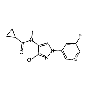 CN(C(=O)C1CC1)c1cn(-c2cncc(F)c2)nc1Cl